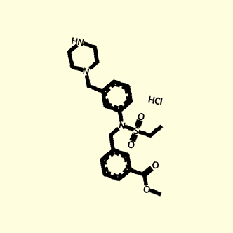 CCS(=O)(=O)N(Cc1cccc(C(=O)OC)c1)c1cccc(CN2CCNCC2)c1.Cl